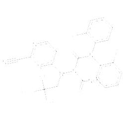 CC(C)(C)CN(c1ccnc(C#N)n1)N(C(N)=O)C(=O)N(c1ccccc1F)c1ccccc1F